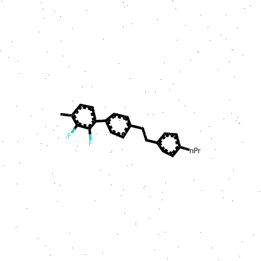 CCCc1ccc(CCc2ccc(-c3ccc(C)c(F)c3F)cc2)cc1